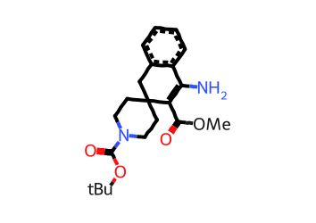 COC(=O)C1=C(N)c2ccccc2CC12CCN(C(=O)OC(C)(C)C)CC2